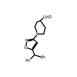 CC(=O)C(c1cc(N2CCC(C=O)CC2)no1)C(C)C